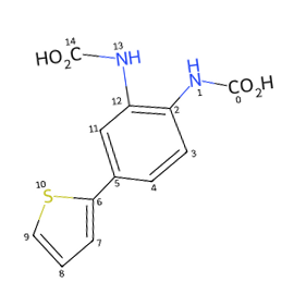 O=C(O)Nc1ccc(-c2cccs2)cc1NC(=O)O